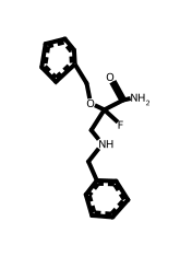 NC(=O)C(F)(CNCc1ccccc1)OCc1ccccc1